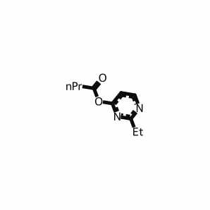 CCCC(=O)Oc1ccnc(CC)n1